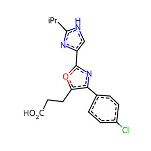 CC(C)c1nc(-c2nc(-c3ccc(Cl)cc3)c(CCC(=O)O)o2)c[nH]1